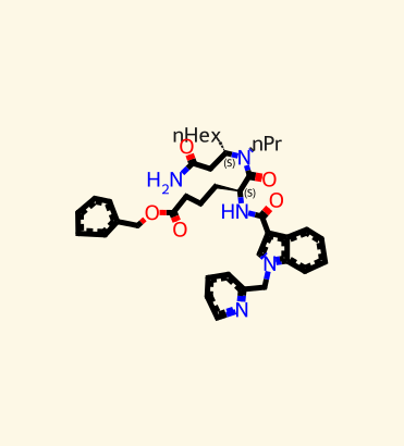 CCCCCC[C@@H](CC(N)=O)N(CCC)C(=O)[C@H](CCCC(=O)OCc1ccccc1)NC(=O)c1cn(Cc2ccccn2)c2ccccc12